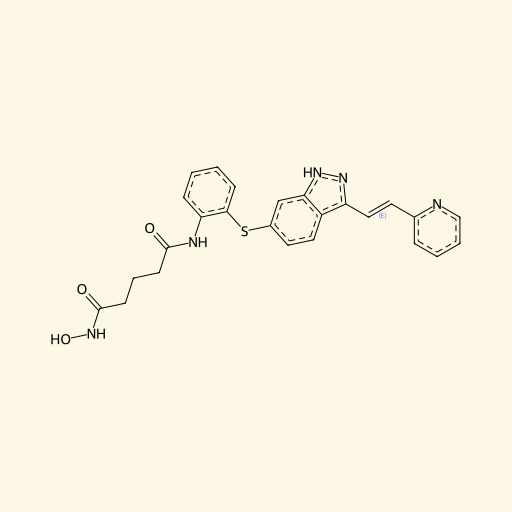 O=C(CCCC(=O)Nc1ccccc1Sc1ccc2c(/C=C/c3ccccn3)n[nH]c2c1)NO